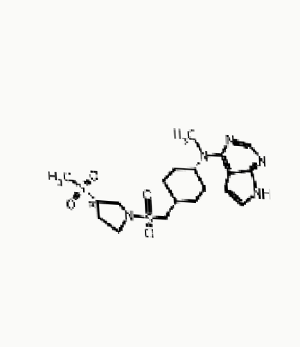 CN(c1ncnc2[nH]ccc12)[C@H]1CC[C@H](CS(=O)(=O)N2CC[C@H](S(C)(=O)=O)C2)CC1